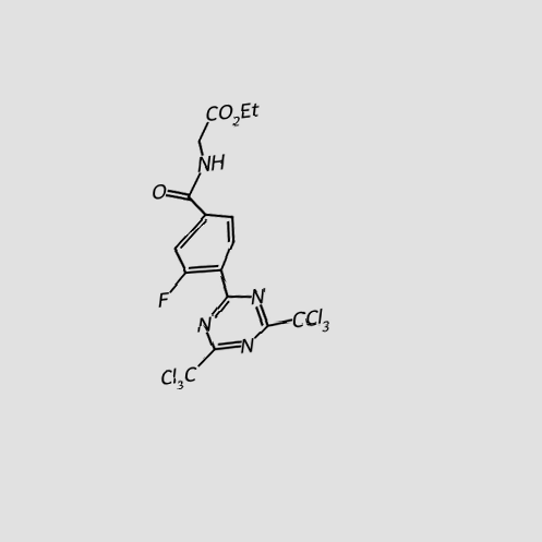 CCOC(=O)CNC(=O)c1ccc(-c2nc(C(Cl)(Cl)Cl)nc(C(Cl)(Cl)Cl)n2)c(F)c1